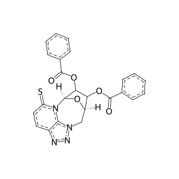 O=C(OC1C(OC(=O)c2ccccc2)[C@H]2Cn3nnc4ccc(=S)n(c43)[C@@H]1O2)c1ccccc1